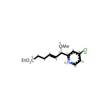 CCOC(=O)CC/C=C/[C@H](OC)c1cc(Cl)ccn1